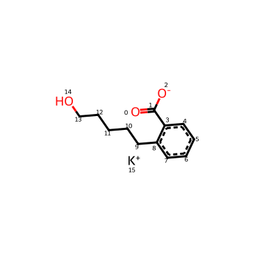 O=C([O-])c1ccccc1CCCCCO.[K+]